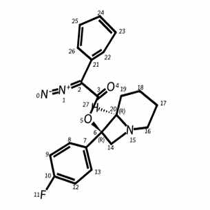 [N-]=[N+]=C(C(=O)O[C@]1(c2ccc(F)cc2)CN2CCCC[C@@H]21)c1ccccc1